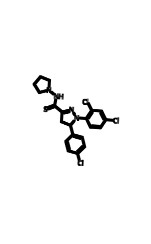 S=C(NN1CCCC1)C1=NN(c2ccc(Cl)cc2Cl)C(c2ccc(Cl)cc2)C1